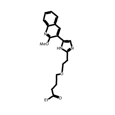 CCC(=O)CCCOCCc1ncc(-c2cc3ccccc3nc2OC)[nH]1